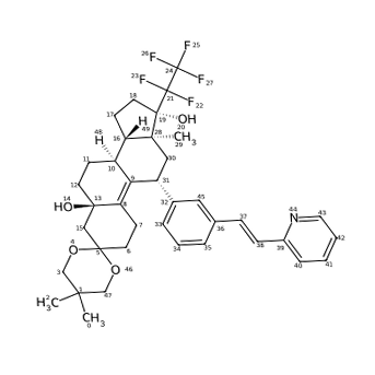 CC1(C)COC2(CCC3=C4[C@@H](CC[C@@]3(O)C2)[C@@H]2CC[C@@](O)(C(F)(F)C(F)(F)F)[C@@]2(C)C[C@@H]4c2cccc(/C=C/c3ccccn3)c2)OC1